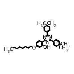 CCCCCCCCOc1ccc(-c2nc(C3=CCC(C)(C)C=C3)nc(C3=CCC(C)(C)C=C3)n2)c(O)c1